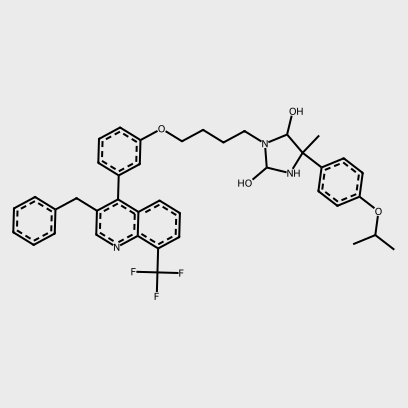 CC(C)Oc1ccc(C2(C)NC(O)N(CCCCOc3cccc(-c4c(Cc5ccccc5)cnc5c(C(F)(F)F)cccc45)c3)C2O)cc1